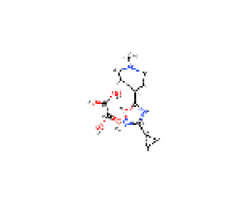 CN1CCC(c2nc(C3CC3)no2)CC1.O=C(O)C(=O)O